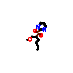 CCCCC(COC)S(=O)(=O)c1ncccn1